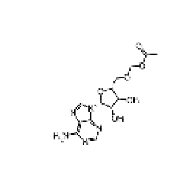 CC(=O)OCOC[C@H]1O[C@@H](n2cnc3c(N)ncnc32)[C@H](O)[C@@H]1O